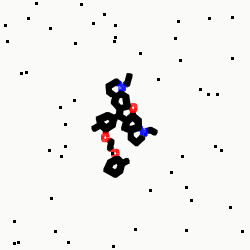 CCN1CCCc2cc3c(cc21)OC1=CC2C(=CC1=C3c1ccc(C)c(OCCOc3ccccc3C)c1)CCCN2CC